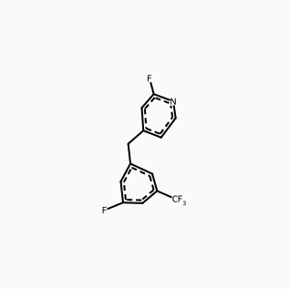 Fc1cc(Cc2ccnc(F)c2)cc(C(F)(F)F)c1